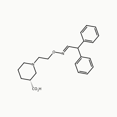 O=C(O)[C@@H]1CCCN(CCON=CC(c2ccccc2)c2ccccc2)C1